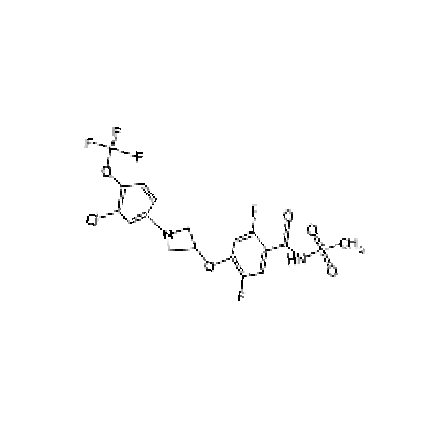 CS(=O)(=O)NC(=O)c1cc(F)c(OC2CN(c3ccc(OC(F)(F)F)c(Cl)c3)C2)cc1F